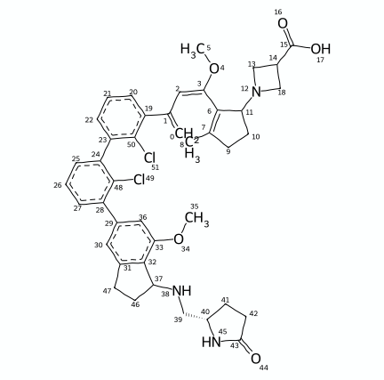 C=C(/C=C(/OC)C1=C(C)CCC1N1CC(C(=O)O)C1)c1cccc(-c2cccc(-c3cc4c(c(OC)c3)C(NC[C@@H]3CCC(=O)N3)CC4)c2Cl)c1Cl